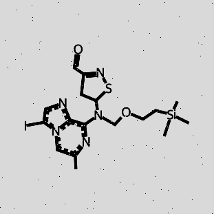 Cc1cn2c(I)cnc2c(N(COCC[Si](C)(C)C)C2CC(C=O)=NS2)n1